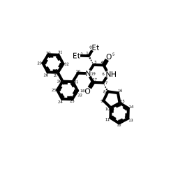 CCC(CC)[C@@H]1C(=O)N[C@H](C2Cc3ccccc3C2)C(=O)N1Cc1ccccc1-c1ccccc1